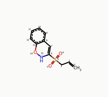 C=CCS(=O)(=O)C1=Cc2ccccc2ON1